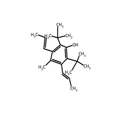 CC=Cc1c(C)c(C=CC)c(C(C)(C)C)c(O)c1C(C)(C)C